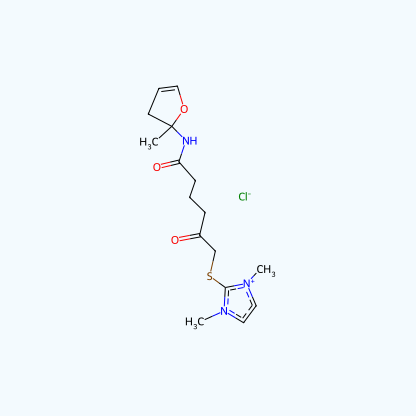 Cn1cc[n+](C)c1SCC(=O)CCCC(=O)NC1(C)CC=CO1.[Cl-]